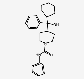 O=C(Nc1ccccc1)N1CCC(C(O)(c2ccccc2)C2CCCCC2)CC1